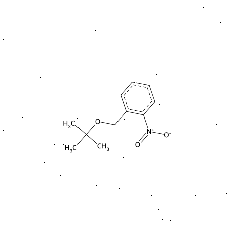 CC(C)(C)OCc1ccccc1[N+](=O)[O-]